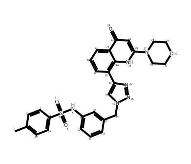 Cc1ccc(S(=O)(=O)Nc2cccc(Cn3cc(-c4cccc5c(=O)cc(N6CCOCC6)[nH]c45)nn3)c2)cc1